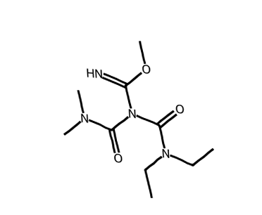 CCN(CC)C(=O)N(C(=N)OC)C(=O)N(C)C